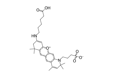 CC1=CC(C)(C)N(CCCS(=O)(=O)[O-])c2cc3[o+]c4c(cc3cc21)C(C)(C)CC(NCCCCCC(=O)O)=C4